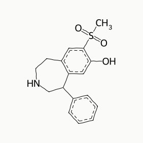 CS(=O)(=O)c1cc2c(cc1O)C(c1ccccc1)CNCC2